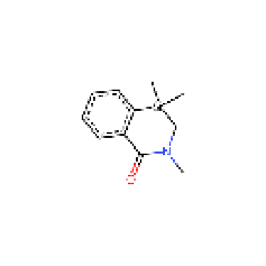 CN1C[Si](C)(C)c2ccccc2C1=O